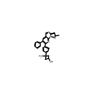 Cc1cc2ncc3cc(-c4ccccc4)c(-c4ccc(C5(N)CC(O)C5)cc4)nc3n2n1